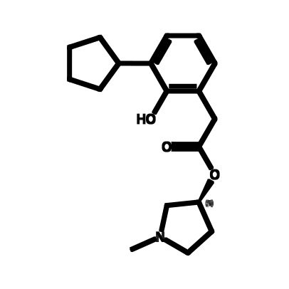 CN1CC[C@H](OC(=O)Cc2cccc(C3CCCC3)c2O)C1